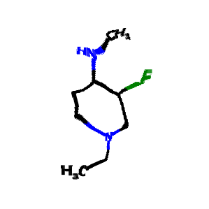 CCN1CCC(NC)[C@@H](F)C1